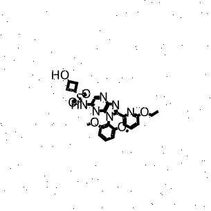 CCOc1cccc(-c2nc3ncc(NS(=O)(=O)[C@H]4C[C@@H](O)C4)nc3n2-c2c(OC)cccc2OC)n1